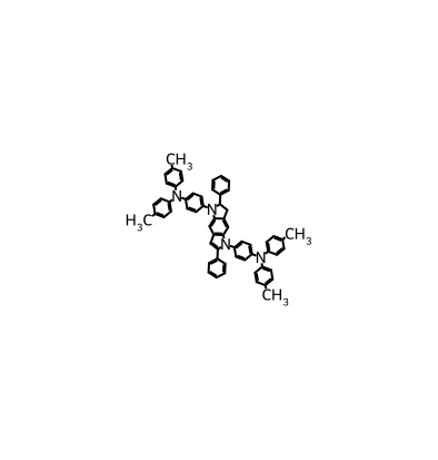 Cc1ccc(N(c2ccc(C)cc2)c2ccc(N3c4cc5cc(-c6ccccc6)n(-c6ccc(N(c7ccc(C)cc7)c7ccc(C)cc7)cc6)c5cc4CC3c3ccccc3)cc2)cc1